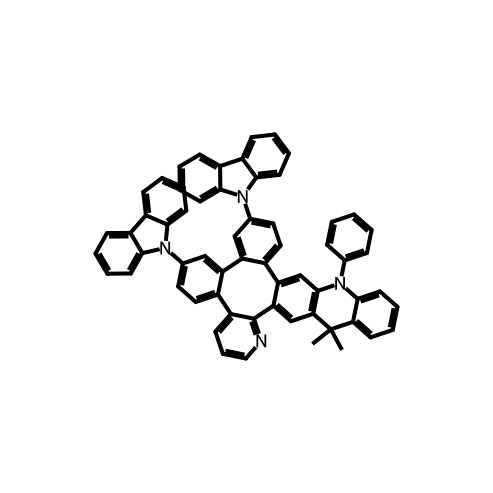 CC1(C)c2ccccc2N(c2ccccc2)c2cc3c(cc21)-c1ncccc1-c1ccc(-n2c4ccccc4c4ccccc42)cc1-c1cc(-n2c4ccccc4c4ccccc42)ccc1-3